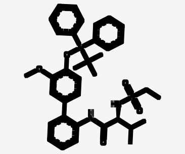 CCS(=O)(=O)N[C@H](C(=O)Nc1ccccc1-c1ccc(O[Si](c2ccccc2)(c2ccccc2)C(C)(C)C)c(OC)c1)C(C)C